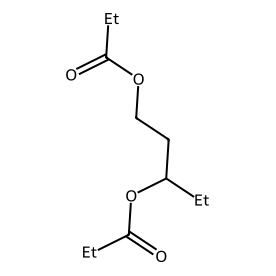 CCC(=O)OCCC(CC)OC(=O)CC